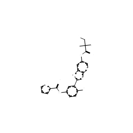 CC(C)(CO)C(=O)Nc1cnc2nc(-c3cc(NC(=O)c4ccco4)ccc3Cl)[nH]c2c1